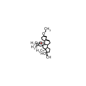 C#C[C@]1(O)CCC2C3CC=C4C=C(OCC)CCC4C3C(O)(C[Si](C)(C)C)C[C@@]21CC